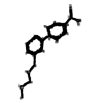 COCOCc1cccc(-c2ccc(C(=O)O)cc2)c1